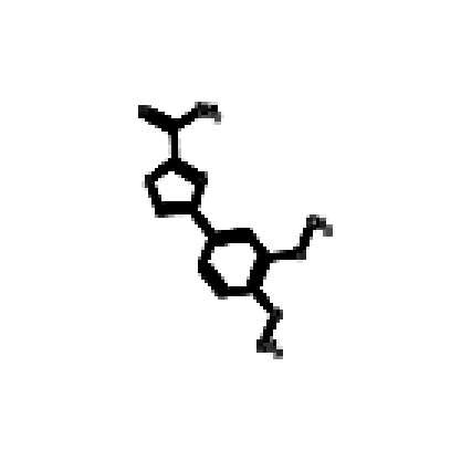 COc1ccc(-c2csc(C(N)=O)n2)cc1OC